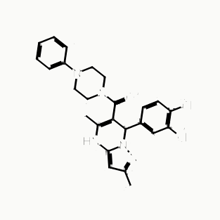 CC1=C(C(=O)N2CCN(c3ccccc3)CC2)C(c2ccc(Cl)c(Cl)c2)n2nc(C)cc2N1